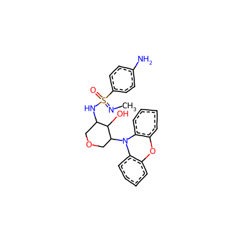 CN=S(=O)(NC1COCC(N2c3ccccc3Oc3ccccc32)C1O)c1ccc(N)cc1